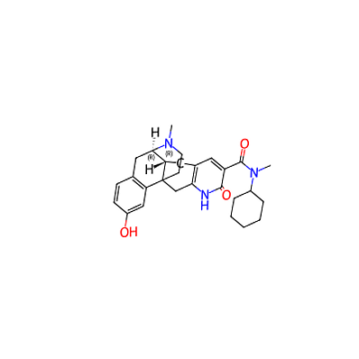 CN(C(=O)c1cc2c([nH]c1=O)CC13CCN(C)[C@H](Cc4ccc(O)cc41)[C@@H]3C2)C1CCCCC1